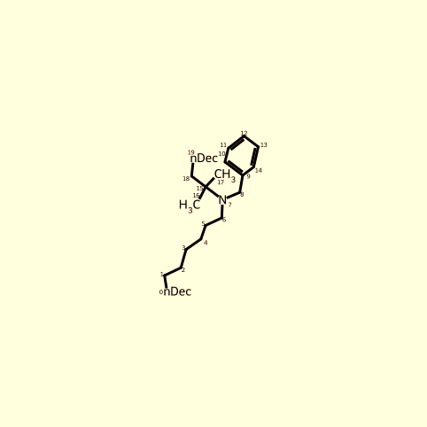 CCCCCCCCCCCCCCCCN(Cc1ccccc1)C(C)(C)CCCCCCCCCCC